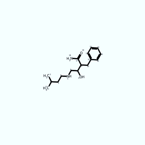 CC(C)CCNCC(O)C(Cc1ccccc1)C(N)=O